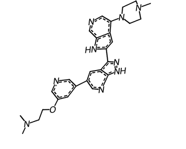 CN(C)CCOc1cncc(-c2cnc3[nH]nc(-c4cc5c(N6CCN(C)CC6)cncc5[nH]4)c3c2)c1